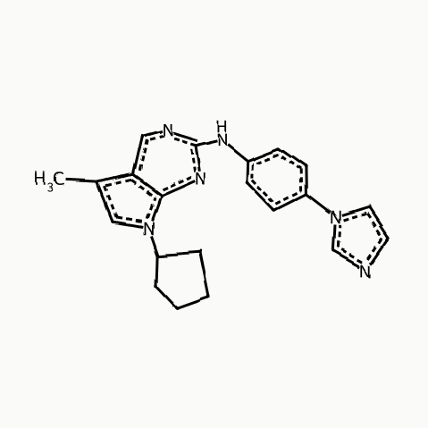 Cc1cn(C2CCCC2)c2nc(Nc3ccc(-n4ccnc4)cc3)ncc12